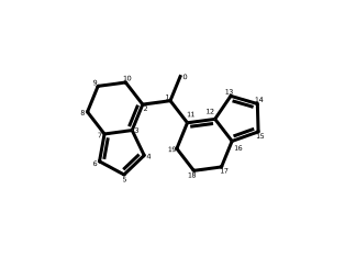 CC(C1=C2C=CC=C2CCC1)C1=C2C=CC=C2CCC1